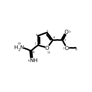 COC(=O)c1ccc(C(=N)N)o1